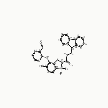 O=Cc1nccnc1Sc1c(Cl)ccc2c1CN(C(=O)OCC1c3ccccc3-c3ccccc31)C2(F)F